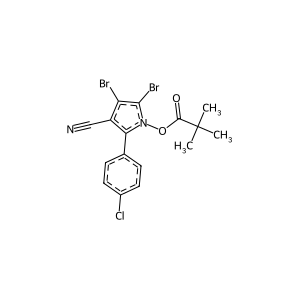 CC(C)(C)C(=O)On1c(Br)c(Br)c(C#N)c1-c1ccc(Cl)cc1